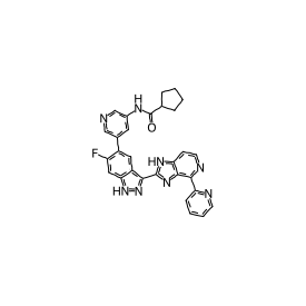 O=C(Nc1cncc(-c2cc3c(-c4nc5c(-c6ccccn6)nccc5[nH]4)n[nH]c3cc2F)c1)C1CCCC1